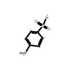 CCS(=O)(=O)c1ccc(NC)cc1